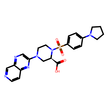 O=C(O)[C@H]1CN(c2cnc3cnccc3n2)CCN1S(=O)(=O)c1ccc(N2CCCC2)cc1